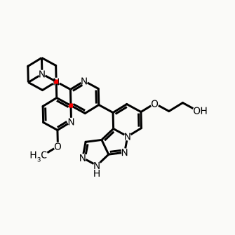 COc1ccc(CN2C3CC2CN(c2ccc(-c4cc(OCCO)cn5nc6[nH]ncc6c45)cn2)C3)cn1